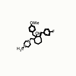 COc1ccc(CC2(O)C(=Cc3ccc(F)cc3)CCCCC2CN2CCN(C)CC2)cc1